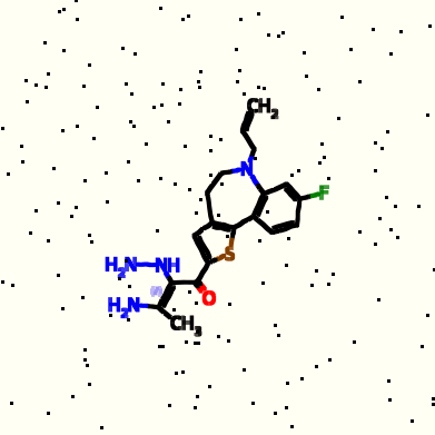 C=CCN1CCc2cc(C(=O)/C(NN)=C(\C)N)sc2-c2ccc(F)cc21